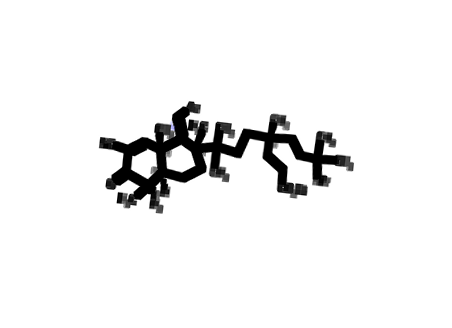 CCCC(C)(C)CC[C@](C)(CCC(=O)OCC)CCC(C)(C)[C@]1(C)CC[C@H]2C(C)(C)C(=O)C(C#N)=C[C@]2(C)/C1=C/C(C)=O